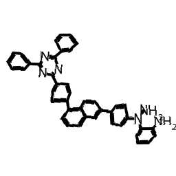 Nc1ccccc1N(N)c1ccc(-c2ccc3c(-c4ccc(-c5nc(-c6ccccc6)nc(-c6ccccc6)n5)cc4)cccc3c2)cc1